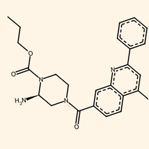 CCCOC(=O)N1CCN(C(=O)c2ccc3c(Cl)cc(-c4ccccc4)nc3c2)C[C@H]1N